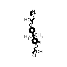 CC(C)(c1ccc(OC[C@H](O)Cn2ccnc2)cc1)c1ccc(OC[C@H](O)CCl)c(I)c1